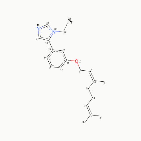 CC(C)=CCCC(C)=CCOc1cccc(-c2cncn2CC(C)C)c1